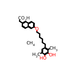 C.Cc1cc(CCCCCCOc2ccc3cc(CC(=O)O)ccc3c2)c(C)c(O)c1O